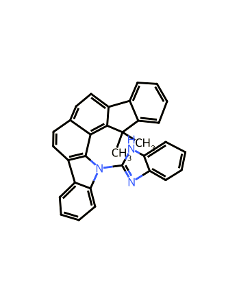 CC1(C)c2ccccc2-c2ccc3ccc4c5ccccc5n(-c5nc6ccccc6[nH]5)c4c3c21